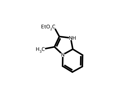 CCOC(=O)C1=C(C)N2C=CC=CC2N1